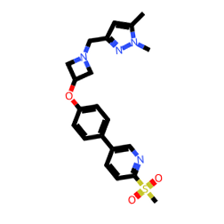 Cc1cc(CN2CC(Oc3ccc(-c4ccc(S(C)(=O)=O)nc4)cc3)C2)nn1C